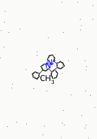 Cc1ccccc1-c1cc[n+]2c(c1)-c1ccccc1-c1ccccc1-c1cccc[n+]1-2